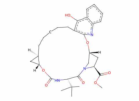 COC(=O)[C@@H]1C[C@@H]2CN1C(=O)[C@H](C(C)(C)C)NC(=O)O[C@@H]1C[C@H]1CCCCCc1c(nc3ccccc3c1O)O2